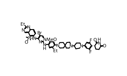 CCc1ncc2c(P(C)(C)=O)c(Nc3nc(Nc4cc(CC)c(N5CCC6(CC5)CCN(C5CCN(c7cc(F)c([C@H]8CCC(=O)NC8=O)c(F)c7)CC5)CC6)cc4OC)ncc3Br)ccc2n1